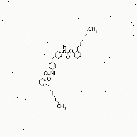 CCCCCCCCc1ccccc1OC(=O)Nc1ccc(Cc2ccc(NC(=O)Oc3ccccc3CCCCCCCC)cc2)cc1